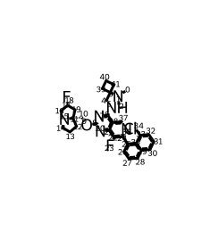 CN(C)C1(CNc2nc(OC[C@]34CCCN3C[C@@H](F)C4)nc3c(F)c(-c4cccc5cccc(Cl)c45)ncc23)CCC1